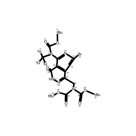 [2H]C([2H])([2H])N(C(=O)OC(C)(C)C)c1nc(Br)cc2c(CN(C(=O)OC(C)(C)C)C(=O)OC(C)(C)C)n[nH]c(=O)c12